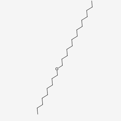 CCCCCCCCCCCCCCOCCCCCCCCC